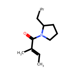 CC=C(C)C(=O)N1CCCC1CC(C)C